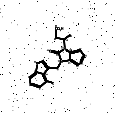 Cc1cccc2scc(Cn3c(=O)n(C(C)CC(=O)O)c4ccccc43)c12